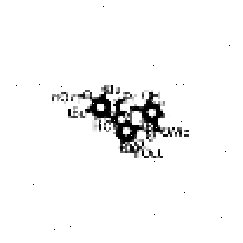 CCCCCCCCOc1c(C(C)(C)C)cc(C(O)(c2cc(C(C)(C)C)c(OCCCCCCCC)c(C(C)(C)C)c2)C(CC(C)C)N=Cc2cc(C(=O)OC)ccc2O)cc1C(C)(C)C